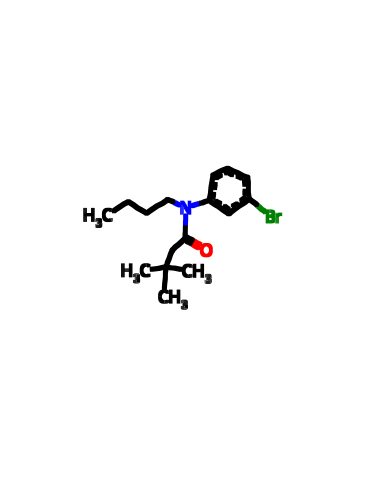 CCCCN(C(=O)CC(C)(C)C)c1cccc(Br)c1